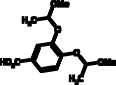 COC(C)Oc1ccc(C(=O)O)cc1OC(C)OC